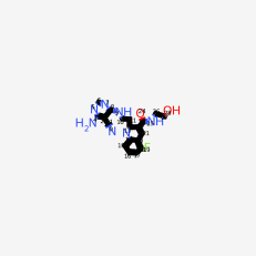 N#Cc1c(N)ncnc1NCCc1nc2cccc(F)c2cc1C(=O)NCCO